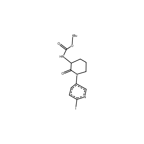 CC(C)(C)OC(=O)NC1CCCN(c2ccc(I)nc2)C1=O